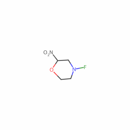 O=[N+]([O-])C1CN(F)CCO1